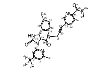 Cc1cc(C(F)(F)F)cc(N2C(=O)NC[C@H]2C(=O)N(CC#Cc2ccc(C(=O)N(C)C)nc2)c2ccc(F)cc2)n1